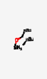 CCCCC.CCCCCO[SiH3]